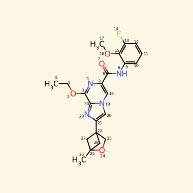 CCOc1nc(C(=O)Nc2cccc(F)c2OC)cn2cc(C34COC(C)(C3)C4)nc12